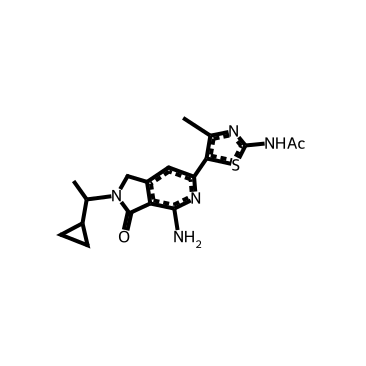 CC(=O)Nc1nc(C)c(-c2cc3c(c(N)n2)C(=O)N(C(C)C2CC2)C3)s1